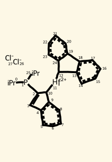 CC(C)P(C1=Cc2ccccc2[CH]1[Hf+2][CH]1c2ccccc2-c2ccccc21)C(C)C.[Cl-].[Cl-]